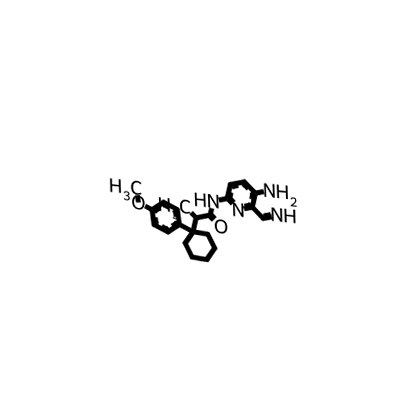 COc1ccc(C2(C(C)C(=O)Nc3ccc(N)c(C=N)n3)CCCCC2)cc1